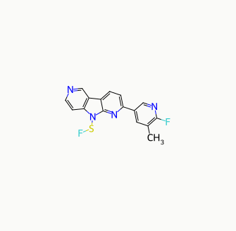 Cc1cc(-c2ccc3c4cnccc4n(SF)c3n2)cnc1F